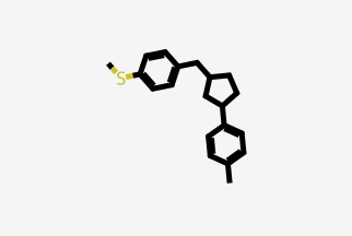 CSc1ccc(CC2CCC(c3ccc(C)cc3)C2)cc1